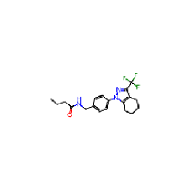 CCCC(=O)NCc1ccc(-n2nc(C(F)(F)F)c3c2CCCC3)cc1